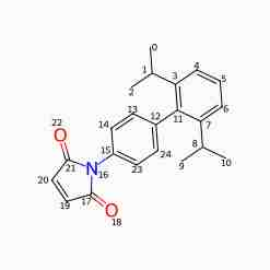 CC(C)c1cccc(C(C)C)c1-c1ccc(N2C(=O)C=CC2=O)cc1